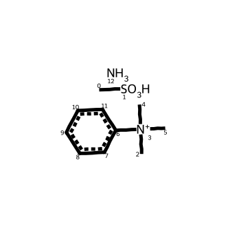 CS(=O)(=O)O.C[N+](C)(C)c1ccccc1.N